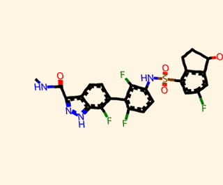 CNC(=O)c1n[nH]c2c(F)c(-c3c(F)ccc(NS(=O)(=O)c4cc(F)cc5c4CCC5O)c3F)ccc12